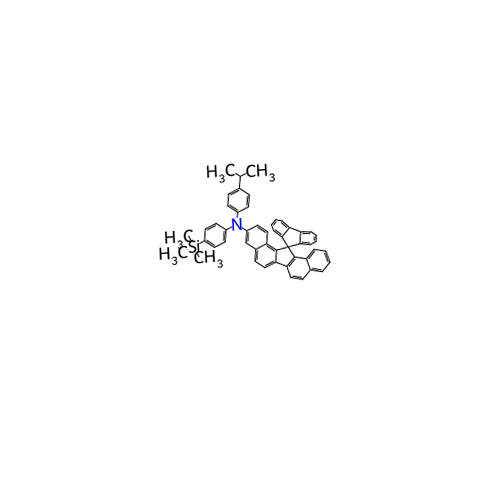 CC(C)c1ccc(N(c2ccc([Si](C)(C)C)cc2)c2ccc3c4c(ccc3c2)-c2ccc3ccccc3c2C42c3ccccc3-c3ccccc32)cc1